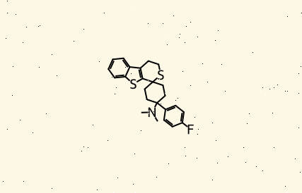 CN(C)C1(c2ccc(F)cc2)CCC2(CC1)SCCc1c2sc2ccccc12